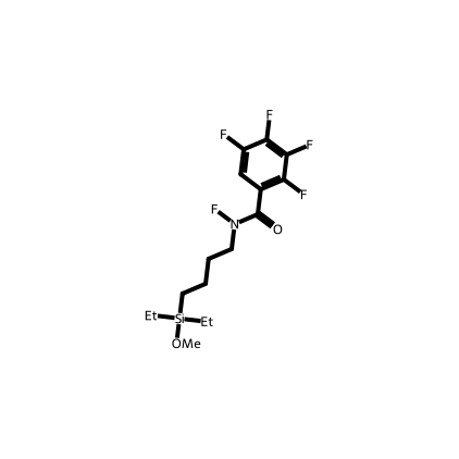 CC[Si](CC)(CCCCN(F)C(=O)c1cc(F)c(F)c(F)c1F)OC